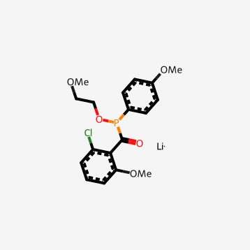 COCCOP(C(=O)c1c(Cl)cccc1OC)c1ccc(OC)cc1.[Li]